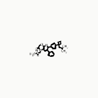 C[C](C)CC1(c2ccc(-c3nc4c(cc3-c3ccccc3)N(CS(C)(=O)=O)C(=O)CO4)cc2)CCC1